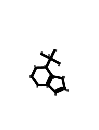 CC(C)(C)C1CCCC2=C1CN=C2